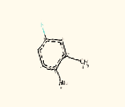 C[CH]CCc1ccc(F)cc1C